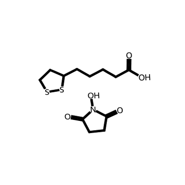 O=C(O)CCCCC1CCSS1.O=C1CCC(=O)N1O